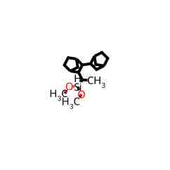 CO[SiH](OC)C(C)C1C2CCC(C2)C1C1CC2CCC1C2